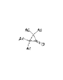 CC(=O)C1(C(C)=O)C(=O)C1(C(C)=O)C(C)=O